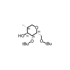 C[C@@H]1CO[C@H](COC(C)(C)C)[C@H](OC(C)(C)C)[C@H]1O